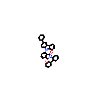 O=C1c2cccc(-n3c4ccccc4c4cc(-c5ccccc5)ccc43)c2C(=O)N1c1ccccc1-c1ccccc1